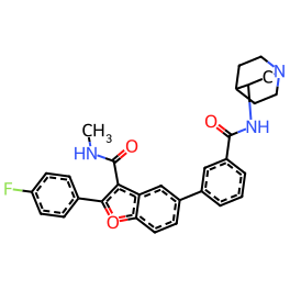 CNC(=O)c1c(-c2ccc(F)cc2)oc2ccc(-c3cccc(C(=O)NC4CN5CCC4CC5)c3)cc12